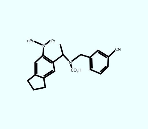 CCCN(CCC)c1cc2c(cc1C(C)N(Cc1cccc(C#N)c1)C(=O)O)CCC2